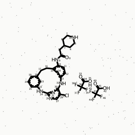 O=C(CC1CCNCC1)Nc1ccc2cc1CCc1cccc(c1)Nc1ncc(Cl)c(n1)N2.O=C(O)C(F)(F)F.O=C(O)C(F)(F)F